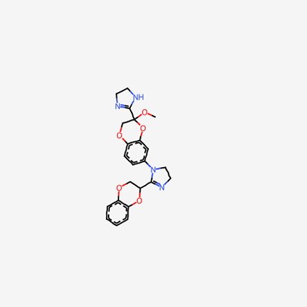 COC1(C2=NCCN2)COc2ccc(N3CCN=C3C3COc4ccccc4O3)cc2O1